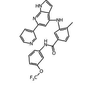 Cc1ccc(C(=O)Nc2cccc(OC(F)(F)F)c2)cc1Nc1cc(-c2cccnc2)nc2[nH]ccc12